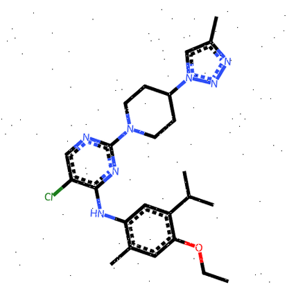 CCOc1cc(C)c(Nc2nc(N3CCC(n4cc(C)nn4)CC3)ncc2Cl)cc1C(C)C